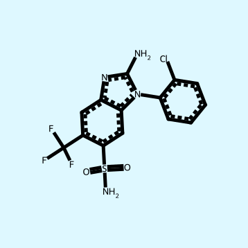 Nc1nc2cc(C(F)(F)F)c(S(N)(=O)=O)cc2n1-c1ccccc1Cl